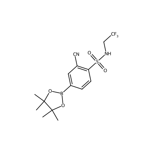 CC1(C)OB(c2ccc(S(=O)(=O)NCC(F)(F)F)c(C#N)c2)OC1(C)C